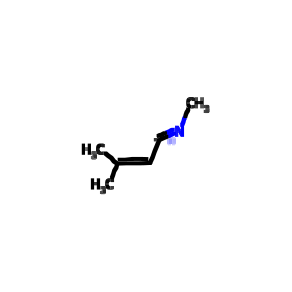 C/N=[C]/C=C(C)C